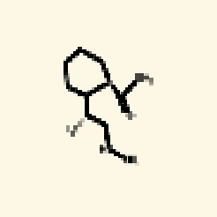 CNC[C@H](C)C1CCCCN1C(=N)N